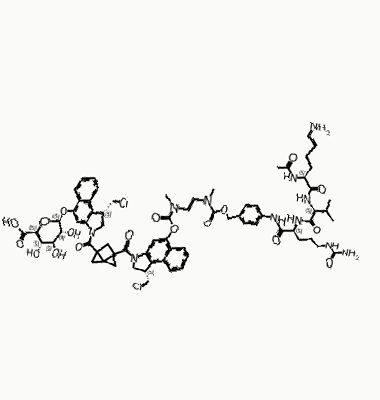 CC(=O)N[C@@H](CCCCN)C(=O)N[C@H](C(=O)N[C@@H](CCCNC(N)=O)C(=O)Nc1ccc(COC(=O)N(C)CCN(C)C(=O)Oc2cc3c(c4ccccc24)[C@H](CCl)CN3C(=O)C23CC4(C(=O)N5C[C@@H](CCl)c6c5cc(O[C@@H]5O[C@H](C(=O)O)[C@@H](O)[C@H](O)[C@H]5O)c5ccccc65)CC24C3)cc1)C(C)C